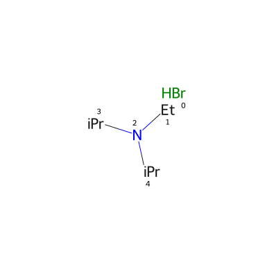 Br.CCN(C(C)C)C(C)C